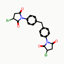 O=C1CC(Br)C(=O)N1c1ccc(Cc2ccc(N3C(=O)CC(Br)C3=O)cc2)cc1